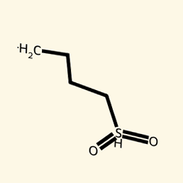 [CH2]CCC[SH](=O)=O